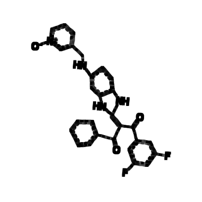 O=C(C(C(=O)c1cc(F)cc(F)c1)=C1Nc2ccc(NCc3ccc[n+]([O-])c3)cc2N1)c1ccccc1